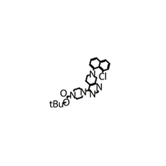 CC(C)(C)OC(=O)N1CCN(c2ncnc3c2CCN(c2cccc4cccc(Cl)c24)C3)CC1